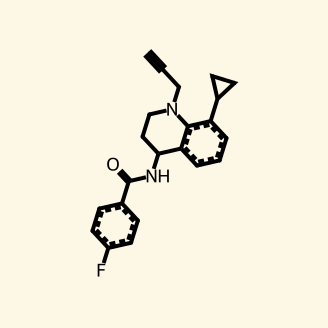 C#CCN1CCC(NC(=O)c2ccc(F)cc2)c2cccc(C3CC3)c21